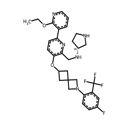 CCOc1ncccc1-c1ccc(OC2CC3(C2)CN(c2ccc(F)cc2C(F)(F)F)C3)c(CN[C@@H]2CCNC2)n1